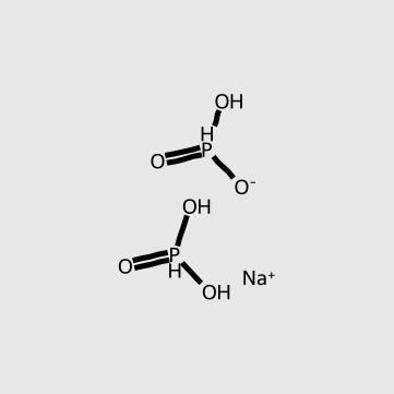 O=[PH](O)O.O=[PH]([O-])O.[Na+]